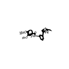 COc1ccc(C(=O)Nc2cccc(-c3csc(C)n3)c2)cc1OC